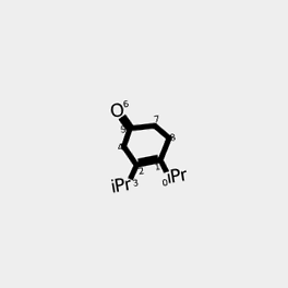 CC(C)C1=C(C(C)C)CC(=O)CC1